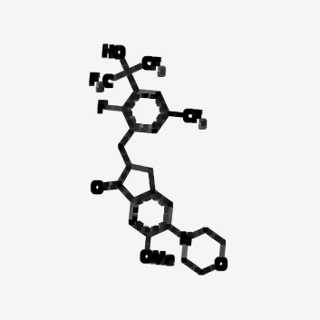 COc1cc2c(cc1N1CCOCC1)CC(Cc1cc(C(F)(F)F)cc(C(O)(C(F)(F)F)C(F)(F)F)c1F)C2=O